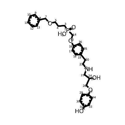 O=P(O)(CCCOCc1ccccc1)COc1ccc(CCNCC(O)COc2ccc(O)cc2)cc1